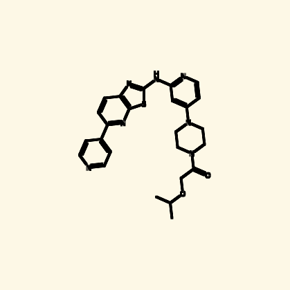 CC(C)OCC(=O)N1CCN(c2ccnc(Nc3nc4ccc(-c5ccncc5)nc4s3)c2)CC1